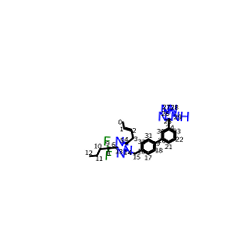 C/C=C/Cc1nc(C(F)(F)CCC)nn1Cc1ccc(-c2cccc(-c3nnn[nH]3)c2)cc1